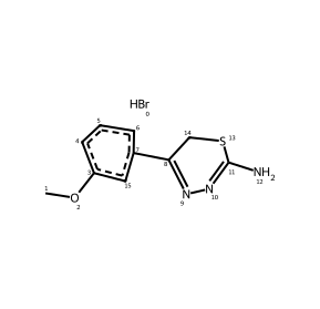 Br.COc1cccc(C2=NN=C(N)SC2)c1